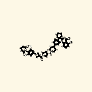 O=C(C1CN(c2cc(F)c(N3C(=O)CCCC3=O)c(F)c2)C1)N1CC[C@H](CN2CCC(c3ccc4c(c3)-n3c(nc(=O)c5c(Br)cccc53)C43CCCCC3)CC2)C1